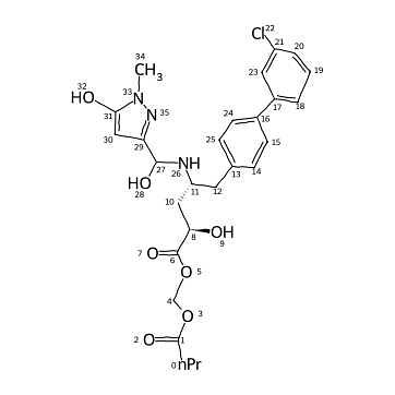 CCCC(=O)OCOC(=O)[C@H](O)C[C@@H](Cc1ccc(-c2cccc(Cl)c2)cc1)NC(O)c1cc(O)n(C)n1